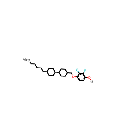 CCOc1ccc(OCC2CCC(C3CCC(CCCCCOC)CC3)CC2)c(F)c1F